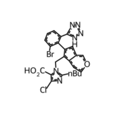 CCCCc1nc(Cl)c(C(=O)O)n1Cc1c2ccocc-2cc1-c1c(Br)cccc1-c1nnn[nH]1